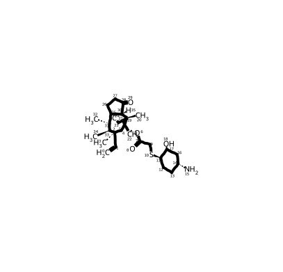 C=C[C@]1(C)C[C@@H](OC(=O)CS[C@@H]2CC[C@@H](N)C[C@H]2O)[C@]2(C)C(C)CC[C@]3(CCC(=O)[C@H]32)[C@@H](C)[C@@H]1C